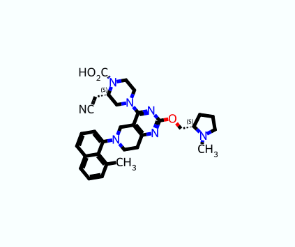 Cc1cccc2cccc(N3CCc4nc(OC[C@@H]5CCCN5C)nc(N5CCN(C(=O)O)[C@@H](CC#N)C5)c4C3)c12